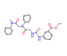 CCOC(=O)c1cccc(NC(=O)NCC(=O)N(CC(=O)N(C)c2ccccc2)c2ccccc2)c1